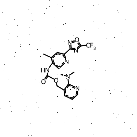 Cc1cc(-c2noc(C(F)(F)F)n2)ncc1NC(=O)OCc1cccnc1N(C)C